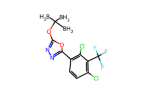 BC(B)(B)Oc1nnc(-c2ccc(Cl)c(C(F)(F)F)c2Cl)o1